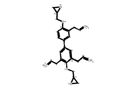 C=CCc1cc(-c2cc(CC=C)c(OCC3CO3)c(CC=C)c2)ccc1OCC1CO1